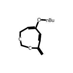 C=C1/C=C\C(OCCCC)=C/CCCC1